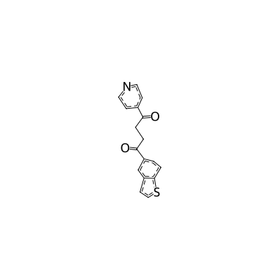 O=C(CCC(=O)c1ccc2sccc2c1)c1ccncc1